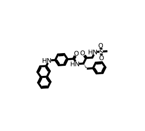 CS(=O)(=O)NCC(=O)[C@H](Cc1ccccc1)NC(=O)c1ccc(Nc2ccc3ccccc3c2)cc1